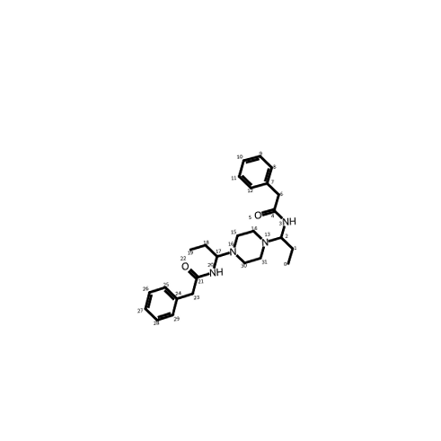 CCC(NC(=O)Cc1ccccc1)N1CCN(C(CC)NC(=O)Cc2ccccc2)CC1